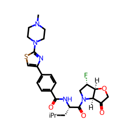 CC(C)C[C@H](NC(=O)c1ccc(-c2csc(N3CCN(C)CC3)n2)cc1)C(=O)N1C[C@H](F)[C@H]2OCC(=O)[C@H]21